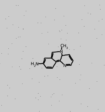 CN1C=c2cc(N)ccc2=C2N=CC=CC21